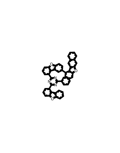 c1ccc(-c2nc(-c3cccc4oc5ccccc5c34)nc(-c3cccc4oc5ccc(-c6cccc7oc8cc9ccccc9cc8c67)cc5c34)n2)cc1